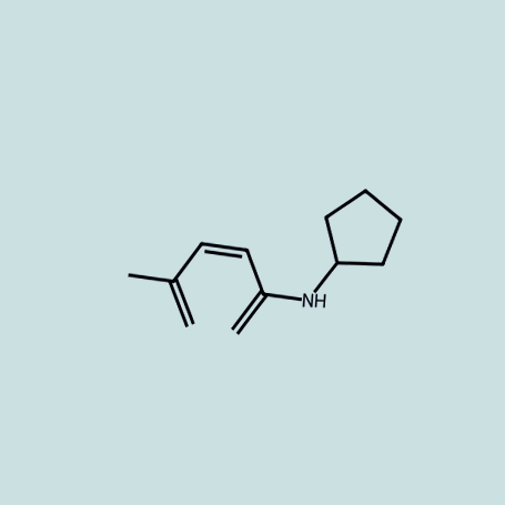 C=C(C)/C=C\C(=C)NC1CCCC1